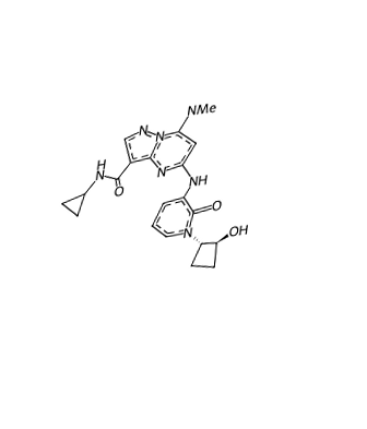 CNc1cc(Nc2cccn([C@H]3CC[C@@H]3O)c2=O)nc2c(C(=O)NC3CC3)cnn12